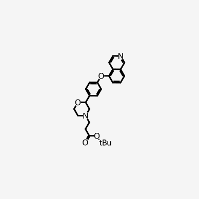 CC(C)(C)OC(=O)CCN1CCOC(c2ccc(Oc3cccc4cnccc34)cc2)C1